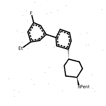 CCCCC[C@H]1CC[C@H](c2cccc(-c3cc(F)cc(CC)c3)c2)CC1